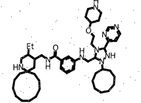 CCC1CNC2(CCCCCCCCCC2)CC1CNC(=O)c1cccc(NCC2N(CCOC3CCNCC3)C(c3ccncn3)NN2C2CCCCCCCC2)c1